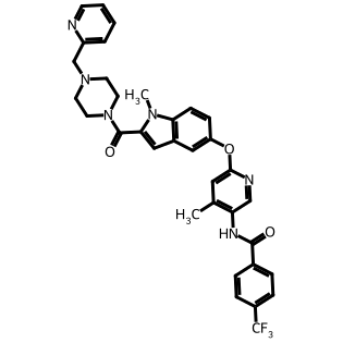 Cc1cc(Oc2ccc3c(c2)cc(C(=O)N2CCN(Cc4ccccn4)CC2)n3C)ncc1NC(=O)c1ccc(C(F)(F)F)cc1